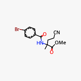 COC(=O)C(C)(CCC#N)NC(=O)c1ccc(Br)cc1